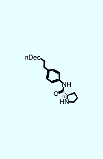 CCCCCCCCCCCCc1ccc(NC(=O)[C@@H]2CCCN2)cc1